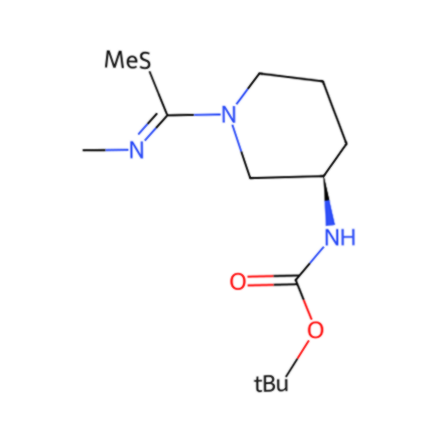 CN=C(SC)N1CCC[C@@H](NC(=O)OC(C)(C)C)C1